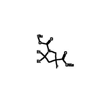 CCC1(CC)CC(F)(C(=O)OC)CN1C(=O)OC(C)(C)C